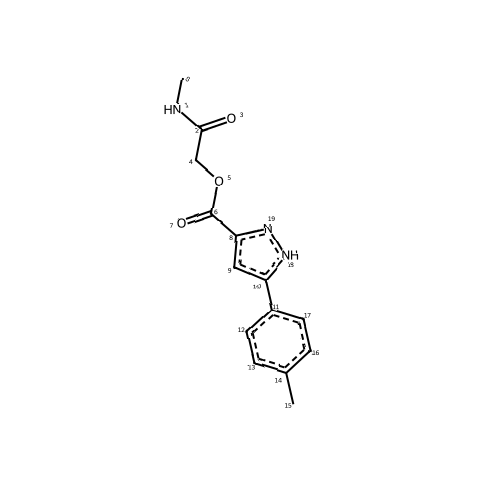 CNC(=O)COC(=O)c1cc(-c2ccc(C)cc2)[nH]n1